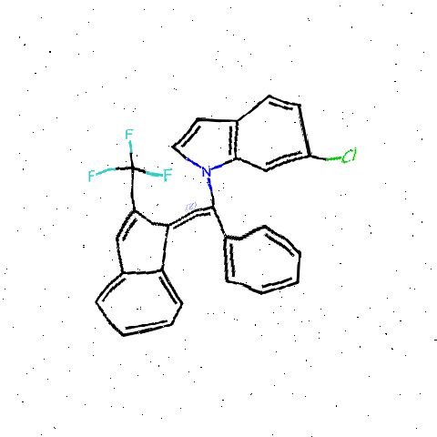 FC(F)(F)C1=Cc2ccccc2/C1=C(\c1ccccc1)n1ccc2ccc(Cl)cc21